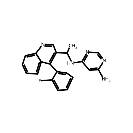 CC(Nc1cc(N)ncn1)c1cnc2ccccc2c1-c1ccccc1F